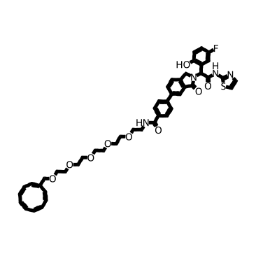 O=C(NCCOCCOCCOCCOCCOCc1ccccccccc1)c1ccc(-c2ccc3c(c2)C(=O)N(C(C(=O)Nc2nccs2)c2cc(F)ccc2O)C3)cc1